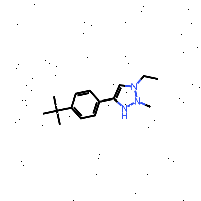 CCN1C=C(c2ccc(C(C)(C)C)cc2)NN1C